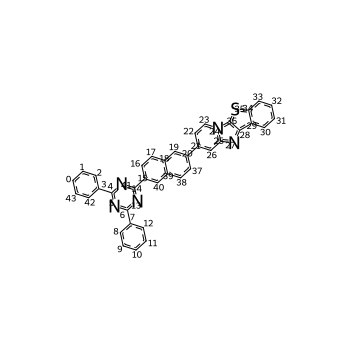 c1ccc(-c2nc(-c3ccccc3)nc(-c3ccc4cc(-c5ccn6c(c5)nc5c7ccccc7sc56)ccc4c3)n2)cc1